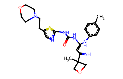 Cc1ccc(N/C(=C\C(=N)C2(C)COC2)NC(=O)Nc2ncc(CCN3CCOCC3)s2)cc1